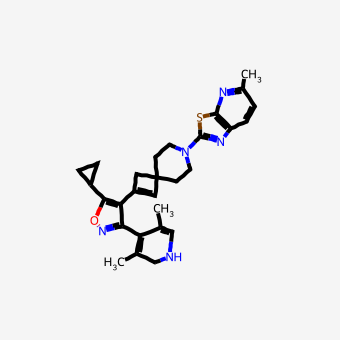 CC1=CNCC(C)=C1c1noc(C2CC2)c1C1=CC2(CCN(c3nc4ccc(C)nc4s3)CC2)C1